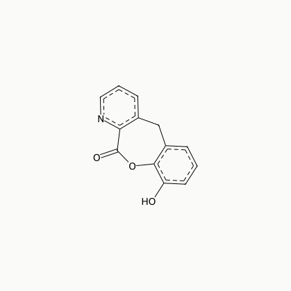 O=C1Oc2c(O)cccc2Cc2cccnc21